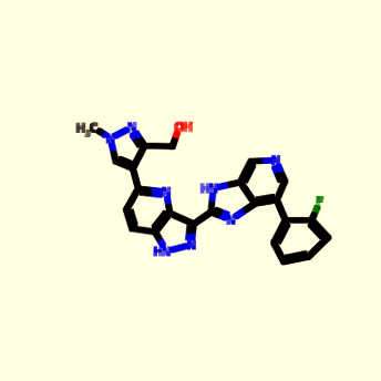 Cn1cc(-c2ccc3[nH]nc(-c4nc5c(-c6ccccc6F)cncc5[nH]4)c3n2)c(CO)n1